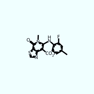 Cc1ccc(Nc2c(C(=O)O)c3ncsc3c(=O)n2C)c(F)c1